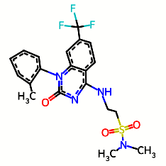 Cc1ccccc1-n1c(=O)nc(NCCS(=O)(=O)N(C)C)c2ccc(C(F)(F)F)cc21